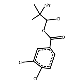 CCCC(C)(C)C(Cl)OC(=O)c1ccc(Cl)c(Cl)c1